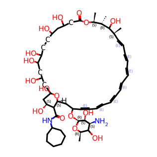 C[C@@H]1OC(=O)CC(O)CC(O)CCC(O)C(O)CC(O)CC2(O)C[C@H](O)C(C(=O)NC3CCCCCC3)[C@H](CC(O[C@@H]3O[C@H](C)C(O)[C@H](N)[C@@H]3O)/C=C/C=C/C=C/C=C/C=C/C=C/C=C/[C@H](C)C(O)[C@H]1C)O2